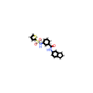 O=C(Nc1ccc2c(c1)CCC2)c1cccc(NS(=O)(=O)c2cccs2)c1